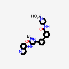 CCn1nc(-c2cccc(-c3cccc(C(=O)NC4CCN(C(=O)O)CC4)c3)c2)cc(Nc2cccc3ncccc23)c1=O